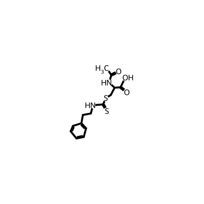 CC(=O)NC(CSC(=S)NCCc1ccccc1)C(=O)O